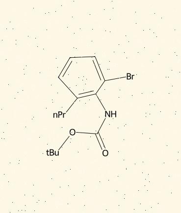 CCCc1cccc(Br)c1NC(=O)OC(C)(C)C